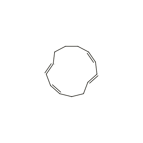 [C]1=C/C=C\CC/C=C/C=C\CCC/1